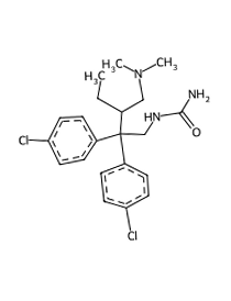 CCC(CN(C)C)C(CNC(N)=O)(c1ccc(Cl)cc1)c1ccc(Cl)cc1